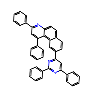 c1ccc(-c2cc(-c3ccc4ccc5nc(-c6ccccc6)cc(-c6ccccc6)c5c4c3)nc(-c3ccccc3)n2)cc1